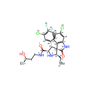 CC[C@@H](O)CCNC(=O)[C@@H]1N[C@H](CC(C)(C)C)[C@]2(C(=O)Nc3cc(Cl)c(F)cc32)[C@H]1c1ccc(F)c(Cl)c1